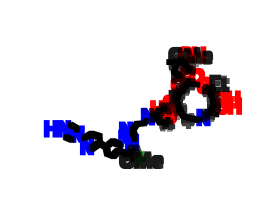 CC[C@H]1OC(=O)[C@H](C)[C@@H](O[C@H]2C[C@@](C)(OC)[C@@H](O)[C@H](C)O2)[C@H](C)[C@@H](O[C@H]2C[C@@H](N(C)CCc3cn([C@H](CF)[C@H](OC)c4ccc(-c5ccc(N6CCNCC6)nc5)cc4)nn3)C[C@@H](C)O2)[C@](C)(O)C[C@@H](C)CN(C)[C@H](C)[C@@H](O)[C@]1(C)O